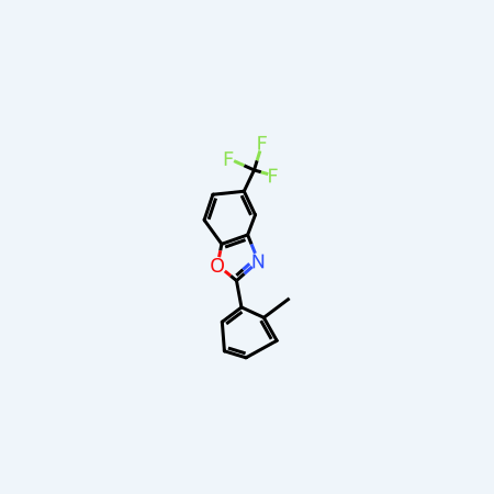 Cc1ccccc1-c1nc2cc(C(F)(F)F)ccc2o1